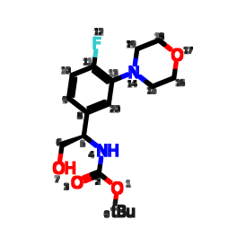 CC(C)(C)OC(=O)N[C@@H](CO)c1ccc(F)c(N2CCOCC2)c1